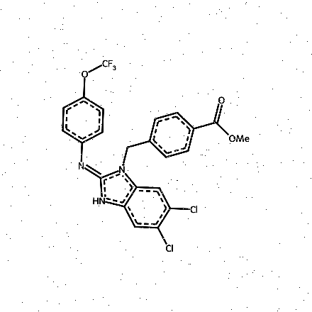 COC(=O)c1ccc(Cn2c(=Nc3ccc(OC(F)(F)F)cc3)[nH]c3cc(Cl)c(Cl)cc32)cc1